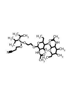 CCC1OC(OC2C(CC)OC(OCCOP(OCCC#N)N(C(C)C)C(C)C)C(NC(C)=O)C2C)C(NC(C)=O)C(C)C1C